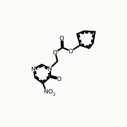 O=C(OCn1cncc([N+](=O)[O-])c1=O)Oc1ccccc1